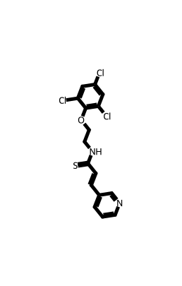 S=C(C=Cc1cccnc1)NCCOc1c(Cl)cc(Cl)cc1Cl